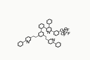 O=S(=O)(Oc1cccc(-c2cc(-c3ccccc3)c(-c3ccccc3-c3cc(CCc4ccc(-c5ccccc5)nc4)cc(CCc4ccc(-c5ccccc5)nc4)c3)cn2)c1)C(F)(F)F